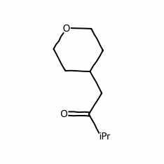 CC(C)C(=O)CC1CCOCC1